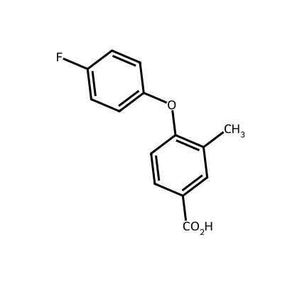 Cc1cc(C(=O)O)ccc1Oc1ccc(F)cc1